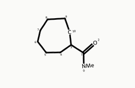 CNC(=O)C1CCCCCCC1